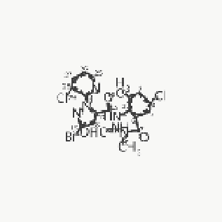 Cc1cc(Cl)cc(C(=O)N(C)NC=O)c1NC(=O)c1cc(Br)nn1-c1ncccc1Cl